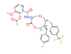 COc1ccnc(C(=O)N[C@H]2COC[C@H](Cc3ccc(C(F)(F)F)cc3)[C@@H](Cc3ccc(F)cc3)[C@H](C)OC2=O)c1OC(C)=O